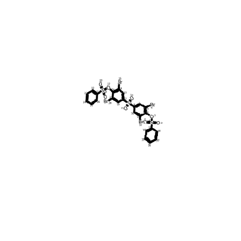 O=S(=O)(Oc1c(Br)cc(S(=O)(=O)c2cc(Br)c(OS(=O)(=O)c3ccccc3)c(Br)c2)cc1Br)c1ccccc1